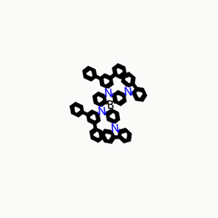 c1ccc(-c2cc(-c3ccccc3)cc(N3c4cc(-n5c6ccccc6c6ccccc65)ccc4B4c5ccc(-n6c7ccccc7c7ccccc76)cc5N(c5cc(-c6ccccc6)cc(-c6ccccc6)c5)c5cccc3c54)c2)cc1